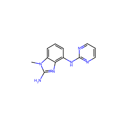 Cn1c(N)nc2c(Nc3ncccn3)cccc21